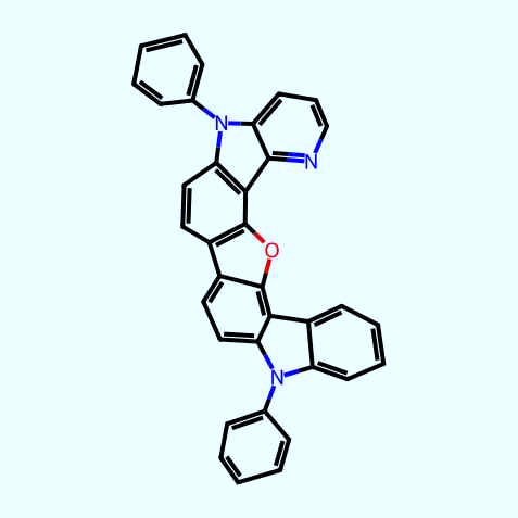 c1ccc(-n2c3ccccc3c3c4oc5c(ccc6c5c5ncccc5n6-c5ccccc5)c4ccc32)cc1